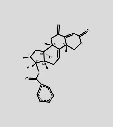 C=C1C[C@@H]2C(=CC[C@@]3(C)[C@H]2C[C@H](C)[C@]3(OC(=O)c2ccccc2)C(C)=O)[C@@]2(C)CCC(=O)C=C12